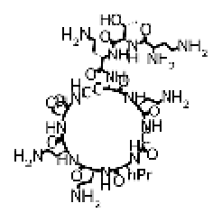 CCC[C@@H]1NC(=O)CNC(=O)[C@H](CCN)NC(=O)[C@@H](NC(=O)[C@H](CCN)NC(=O)[C@@H](NC(=O)[C@@H](N)CCN)[C@@H](C)O)CCNC(=O)[C@H](CO)NC(=O)[C@H](CCN)NC(=O)[C@H](CCN)NC1=O